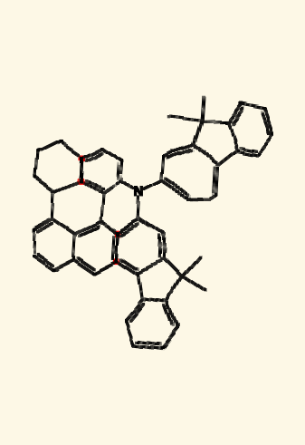 CC1(C)c2ccccc2-c2ccc(N(c3ccc4c(c3)C(C)(C)c3ccccc3-4)c3ccccc3-c3cccc4cccc(C5CCCCC5)c34)cc21